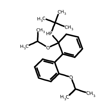 CC(C)Oc1ccccc1C1=CC=CCC1(OC(C)C)PC(C)(C)C